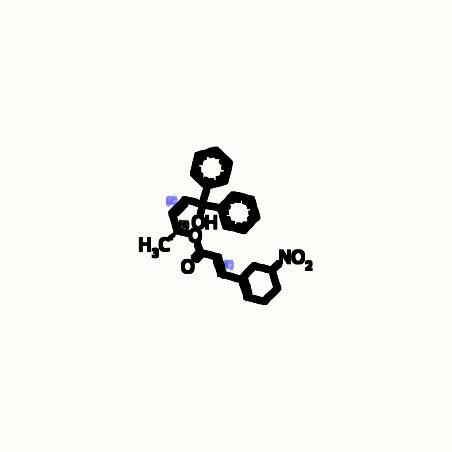 C[C@H](/C=C\C(O)(c1ccccc1)c1ccccc1)OC(=O)/C=C/C1=CCCC([N+](=O)[O-])C1